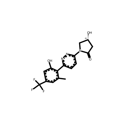 Cc1cc(C(F)(F)F)cc(O)c1-c1ccc(N2C[C@H](O)CC2=O)nn1